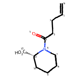 C=CCCC(=O)N1CCCC[C@@H]1C(=O)O